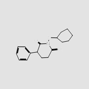 O=C1CCC(c2ccccc2)C(=O)N1SC1CCCCC1